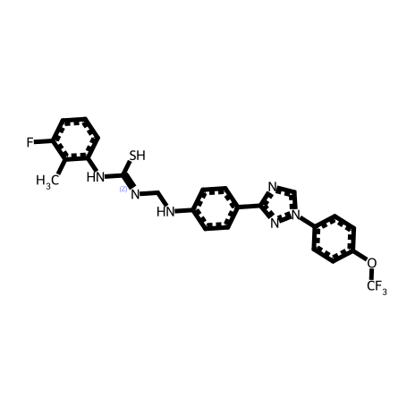 Cc1c(F)cccc1N/C(S)=N/CNc1ccc(-c2ncn(-c3ccc(OC(F)(F)F)cc3)n2)cc1